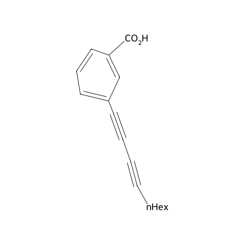 CCCCCCC#CC#Cc1cccc(C(=O)O)c1